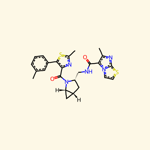 Cc1cccc(-c2sc(C)nc2C(=O)N2[C@H](CNC(=O)c3c(C)nc4sccn34)C[C@@H]3C[C@@H]32)c1